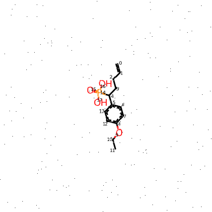 C=CCCC(c1ccc(OCC)cc1)P(=O)(O)O